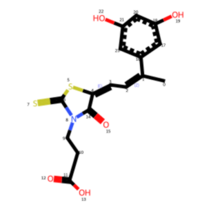 C/C(=C/C=C1/SC(=S)N(CCC(=O)O)C1=O)c1cc(O)cc(O)c1